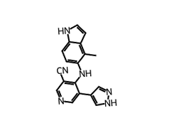 Cc1c(Nc2c(C#N)cncc2-c2cn[nH]c2)ccc2[nH]ccc12